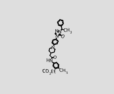 CCOC(=O)c1cc(NC(=O)CC2CCN(c3ccc(-n4cnn(C(C)c5ccccc5)c4=O)cc3)CC2)ccc1C